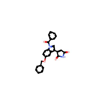 O=C1C=C(c2cn(C(=O)c3ccccc3)c3ccc(OCc4ccccc4)cc23)C(=O)N1